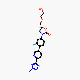 Cn1nnc(-c2ccc(-c3ccc(N4C[C@H](COC[CH]O)OC4=O)cc3F)cn2)n1